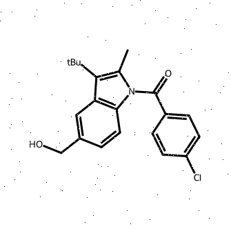 Cc1c(C(C)(C)C)c2cc(CO)ccc2n1C(=O)c1ccc(Cl)cc1